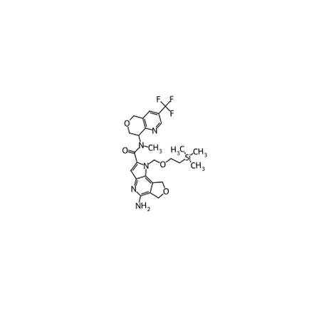 CN(C(=O)c1cc2nc(N)c3c(c2n1COCC[Si](C)(C)C)COC3)C1COCc2cc(C(F)(F)F)cnc21